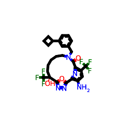 Nc1cc(C(F)(F)F)c2nc1-c1nnc(o1)[C@@](O)(C(F)(F)F)CCCCCN(Cc1cccc(C3CCC3)c1)C2=O